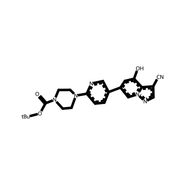 CC(C)(C)OC(=O)N1CCN(c2ccc(-c3cc(O)c4c(C#N)cnn4c3)cn2)CC1